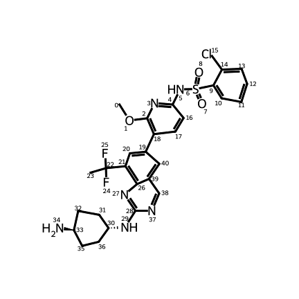 COc1nc(NS(=O)(=O)c2ccccc2Cl)ccc1-c1cc(C(C)(F)F)c2nc(N[C@H]3CC[C@H](N)CC3)ncc2c1